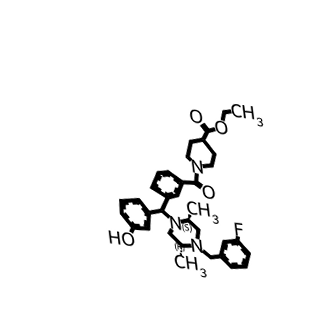 CCOC(=O)C1CCN(C(=O)c2cccc(C(c3cccc(O)c3)N3C[C@@H](C)N(Cc4cccc(F)c4)C[C@@H]3C)c2)CC1